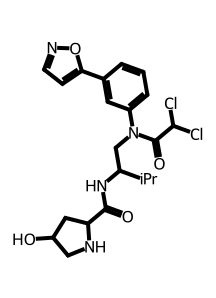 CC(C)C(CN(C(=O)C(Cl)Cl)c1cccc(-c2ccno2)c1)NC(=O)C1CC(O)CN1